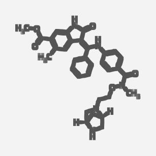 COC(=O)c1cc2c(cc1C)/C(=C(/Nc1ccc(C(=O)N(C)OCCN3C[C@@H]4C[C@H]3CN4)cc1)c1ccccc1)C(=O)N2